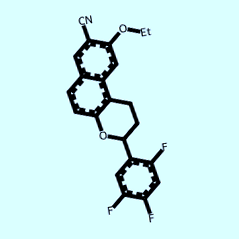 CCOc1cc2c3c(ccc2cc1C#N)OC(c1cc(F)c(F)cc1F)CC3